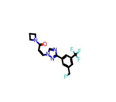 O=C(/C=C\n1cnc(-c2cc(CF)cc(C(F)(F)F)c2)n1)N1CCC1